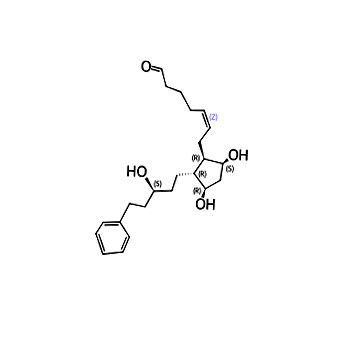 O=CCCC/C=C\C[C@@H]1[C@@H](CC[C@H](O)CCc2ccccc2)[C@H](O)C[C@@H]1O